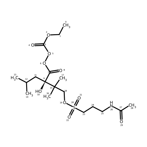 CCOC(=O)OOC(=O)[C@@](O)(CC(C)C)C(C)(C)COS(=O)(=O)CCCNC(C)=O